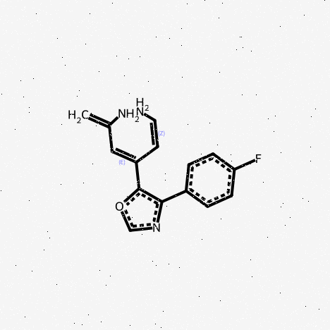 C=C(N)/C=C(\C=C/N)c1ocnc1-c1ccc(F)cc1